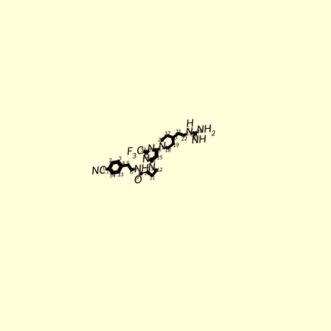 N#Cc1ccc(CCNC(=O)[C@@H]2CCN2c2cc(N3CCC(CCNC(=N)N)CC3)nc(C(F)(F)F)n2)cc1